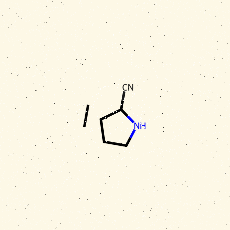 CC.N#CC1CCCN1